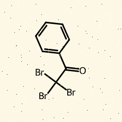 O=C(c1ccccc1)C(Br)(Br)Br